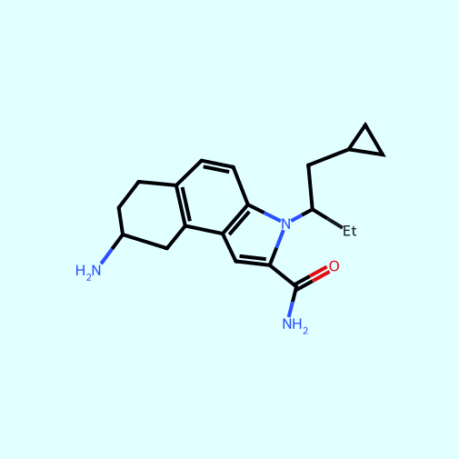 CCC(CC1CC1)n1c(C(N)=O)cc2c3c(ccc21)CCC(N)C3